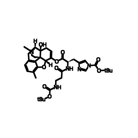 Cc1ccc2c3c1O[C@H]1C(OC(=O)[C@H](Cc4cn(C(=O)OC(C)(C)C)cn4)NC(=O)CCNC(=O)OC(C)(C)C)=CC[C@@]4(O)[C@@H](C2)N(C)CC[C@]314